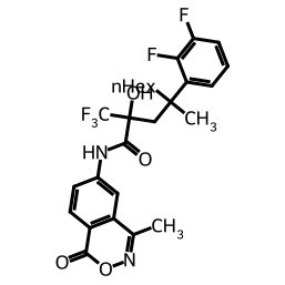 CCCCCCC(C)(CC(O)(C(=O)Nc1ccc2c(=O)onc(C)c2c1)C(F)(F)F)c1cccc(F)c1F